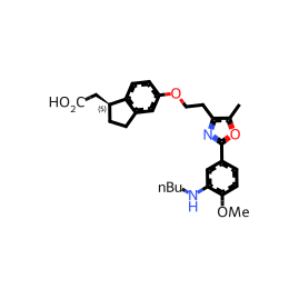 CCCCNc1cc(-c2nc(CCOc3ccc4c(c3)CC[C@H]4CC(=O)O)c(C)o2)ccc1OC